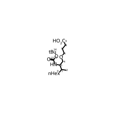 CCCCCCC(C)C(COCCCC(=O)O)NC(=O)OC(C)(C)C